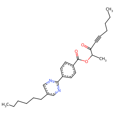 CCCCC#CC(=O)C(C)OC(=O)c1ccc(-c2ncc(CCCCCC)cn2)cc1